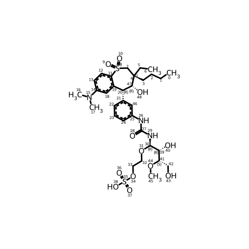 CCCC[C@]1(CC)CS(=O)(=O)c2ccc(N(C)C)cc2[C@@H](c2cccc(NC(=O)N[C@H](OCCOS(=O)(=O)O)[C@H](O)[C@H](CO)OC)c2)[C@H]1O